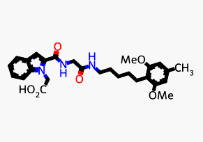 COc1cc(C)cc(OC)c1CCCCCNC(=O)CNC(=O)c1cc2ccccc2n1CC(=O)O